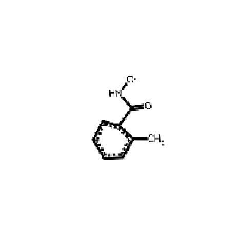 Cc1ccccc1C(=O)N[O]